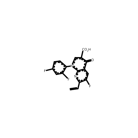 C=Cc1nc2c(cc1F)c(=O)c(C(=O)O)cn2-c1ccc(F)cc1F